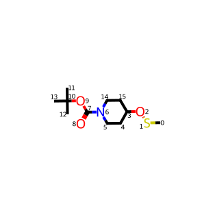 CSOC1CCN(C(=O)OC(C)(C)C)CC1